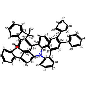 CC1(C)c2ccccc2-c2ccc(N(c3ccccc3-c3ccc(-c4ccccc4)c(-c4ccccc4)c3)c3ccccc3-c3cccc4c3C(C)(C)c3ccccc3-4)cc21